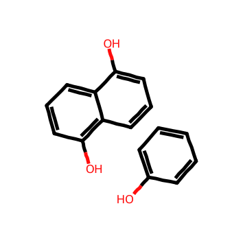 Oc1cccc2c(O)cccc12.Oc1ccccc1